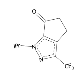 CC(C)n1nc(C(F)(F)F)c2c1C(=O)CC2